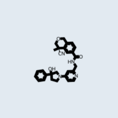 C[C@@]1(C#N)COCc2ccc(C(=O)NCc3cc(N4CCC(O)(c5ccccc5)C4)ccn3)cc21